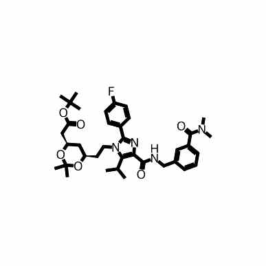 CC(C)c1c(C(=O)NCc2cccc(C(=O)N(C)C)c2)nc(-c2ccc(F)cc2)n1CC[C@@H]1C[C@H](CC(=O)OC(C)(C)C)OC(C)(C)O1